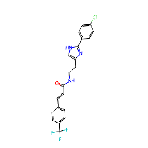 O=C(C=Cc1ccc(C(F)(F)F)cc1)NCCc1c[nH]c(-c2ccc(Cl)cc2)n1